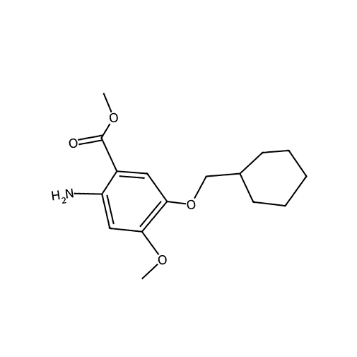 COC(=O)c1cc(OCC2CCCCC2)c(OC)cc1N